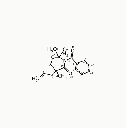 C=CC[C@]1(C)COC(C)(C)N(C(=O)c2ccccc2)C1=O